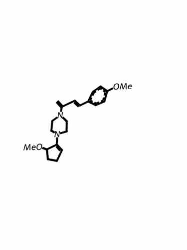 C=C(/C=C/c1ccc(OC)cc1)N1CCN(C2=CCCC2OC)CC1